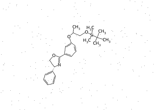 CC(CO[Si](C)(C)C(C)(C)C)Oc1cccc(C2=N[C@H](c3ccccc3)CO2)c1